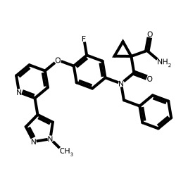 Cn1cc(-c2cc(Oc3ccc(N(Cc4ccccc4)C(=O)C4(C(N)=O)CC4)cc3F)ccn2)cn1